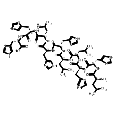 CC(C)C[C@H](NC(=O)[C@H](Cc1c[nH]cn1)NC(=O)[C@H](Cc1c[nH]cn1)NC(=O)[C@H](CC(C)C)NC(=O)[C@H](CC(C)C)NC(=O)[C@H](Cc1c[nH]cn1)NC(=O)[C@H](Cc1c[nH]cn1)NC(=O)[C@@H](N)CC(C)C)C(=O)N[C@@H](Cc1c[nH]cn1)C(=O)N[C@@H](Cc1c[nH]cn1)C(=O)O